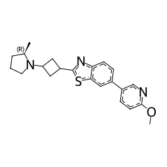 COc1ccc(-c2ccc3nc(C4CC(N5CCC[C@H]5C)C4)sc3c2)cn1